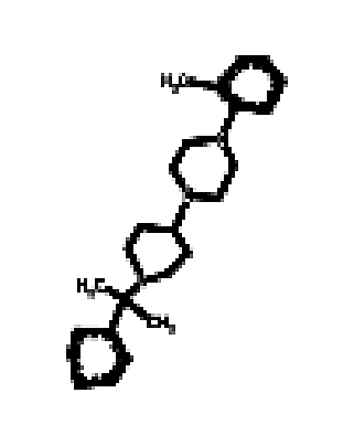 Cc1ccccc1N1CCN(C2CCN(C(C)(C)c3ccccc3)CC2)CC1